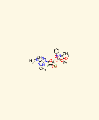 Cc1nc(N(C)C)c2ncn([C@@H]3O[C@](CCl)(CO[P@@](=S)(N[C@@H](C)C(=O)OC(C)C)Oc4ccccc4)[C@@H](O)[C@H]3F)c2n1